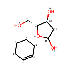 C1=CCCCC1.OC[C@H]1OC(O)C[C@@H]1O